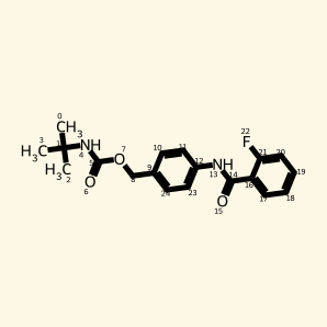 CC(C)(C)NC(=O)OCc1ccc(NC(=O)c2ccccc2F)cc1